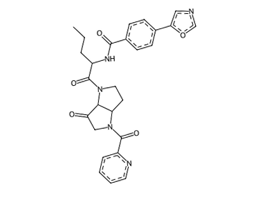 CCCC(NC(=O)c1ccc(-c2cnco2)cc1)C(=O)N1CCC2C1C(=O)CN2C(=O)c1ccccn1